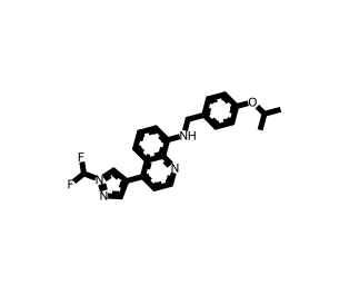 CC(C)Oc1ccc(CNc2cccc3c(-c4cnn(C(F)F)c4)ccnc23)cc1